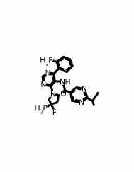 CC(C)c1ncc(C(=O)Nc2c(-c3ccccc3P)ncnc2N2CCC(F)(P)C2)cn1